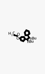 C=CC(=O)Oc1ccc(C(CCCC)=C(CCCC)c2ccccc2)cc1